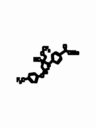 COC(=O)c1ccc(N2C[C@@H](Oc3ccc(C(F)(F)F)cc3)C[C@]2(C#N)COC(F)(F)F)cc1